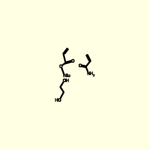 C=CC(=O)OCCCC.C=CC(N)=O.OCCO